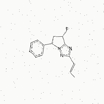 CC=Cc1nc2n(n1)C(c1ccccc1)CC2F